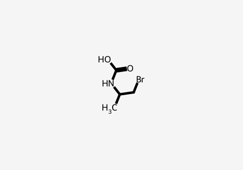 CC(CBr)NC(=O)O